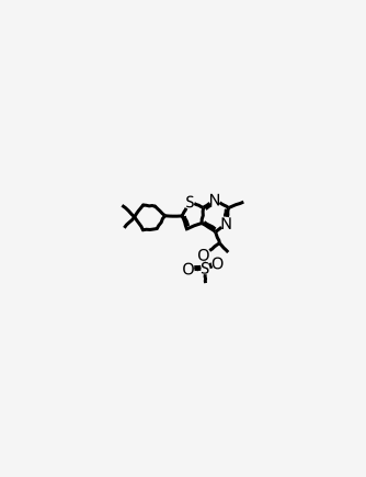 Cc1nc(C(C)OS(C)(=O)=O)c2cc(C3CCC(C)(C)CC3)sc2n1